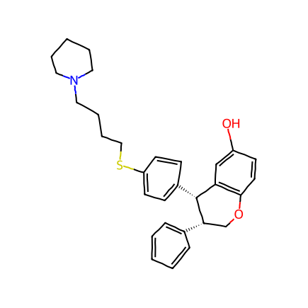 Oc1ccc2c(c1)[C@@H](c1ccc(SCCCCN3CCCCC3)cc1)[C@@H](c1ccccc1)CO2